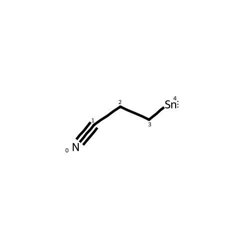 N#CC[CH2][Sn]